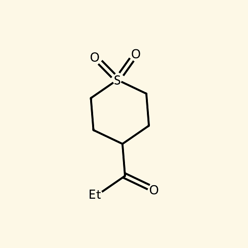 CCC(=O)C1CCS(=O)(=O)CC1